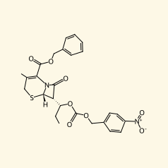 CCC(OC(=O)OCc1ccc([N+](=O)[O-])cc1)[C@H]1C(=O)N2C(C(=O)OCc3ccccc3)=C(C)CS[C@@H]12